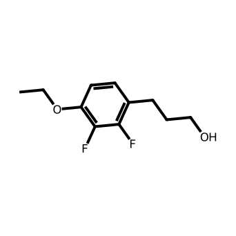 CCOc1ccc(CCCO)c(F)c1F